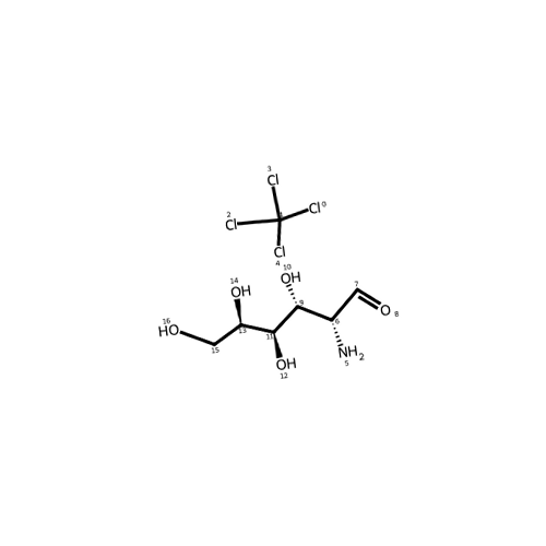 ClC(Cl)(Cl)Cl.N[C@@H](C=O)[C@@H](O)[C@@H](O)[C@H](O)CO